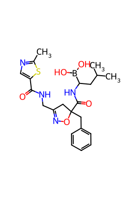 Cc1ncc(C(=O)NCC2=NOC(Cc3ccccc3)(C(=O)NC(CC(C)C)B(O)O)C2)s1